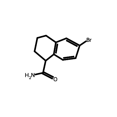 NC(=O)C1CCCc2cc(Br)ccc21